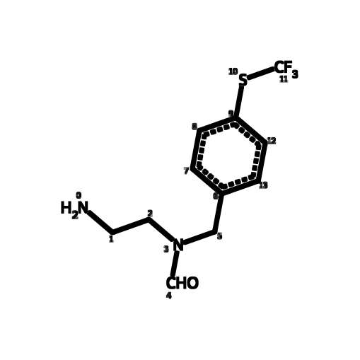 NCCN(C=O)Cc1ccc(SC(F)(F)F)cc1